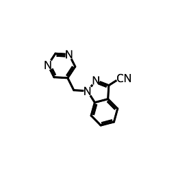 N#Cc1nn(Cc2cncnc2)c2ccccc12